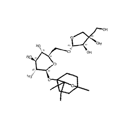 CC12CCC(O[C@@H]3O[C@H](CO[C@@H]4OC[C@](O)(CO)[C@H]4O)[C@@H](O)[C@H](O)[C@H]3O)(CC1)C(C)(C)O2